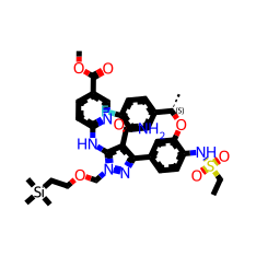 CCS(=O)(=O)Nc1ccc(-c2nn(COCC[Si](C)(C)C)c(Nc3ccc(C(=O)OC)cn3)c2C(N)=O)cc1O[C@@H](C)c1ccc(F)cc1